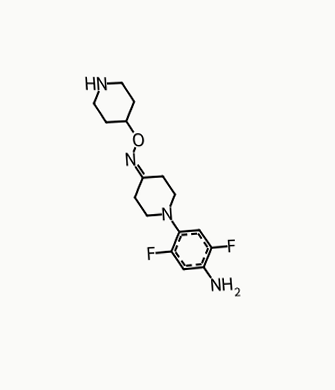 Nc1cc(F)c(N2CCC(=NOC3CCNCC3)CC2)cc1F